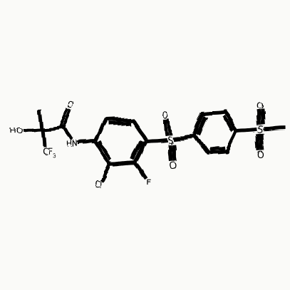 CC(O)(C(=O)Nc1ccc(S(=O)(=O)c2ccc(S(C)(=O)=O)cc2)c(F)c1Cl)C(F)(F)F